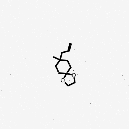 C=CCC1(C)CCC2(CC1)OCCO2